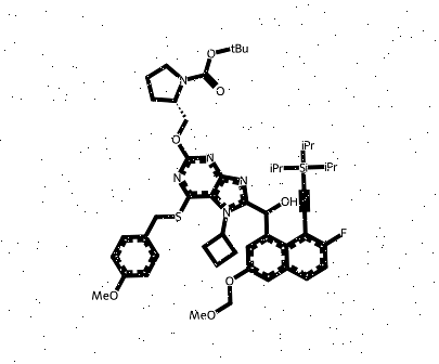 COCOc1cc(C(O)c2nc3nc(OC[C@@H]4CCCN4C(=O)OC(C)(C)C)nc(SCc4ccc(OC)cc4)c3n2C2CCC2)c2c(C#C[Si](C(C)C)(C(C)C)C(C)C)c(F)ccc2c1